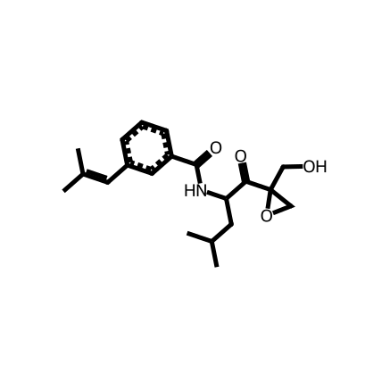 CC(C)=Cc1cccc(C(=O)NC(CC(C)C)C(=O)C2(CO)CO2)c1